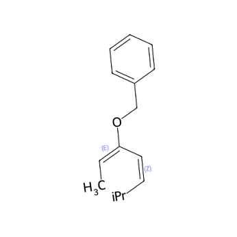 C/C=C(\C=C/C(C)C)OCc1ccccc1